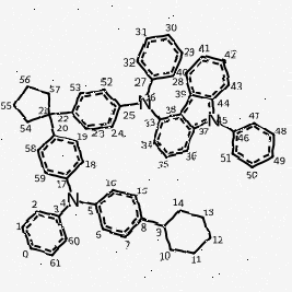 c1ccc(N(c2ccc(C3CCCCC3)cc2)c2ccc(C3(c4ccc(N(c5ccccc5)c5cccc6c5c5ccccc5n6-c5ccccc5)cc4)CCCC3)cc2)cc1